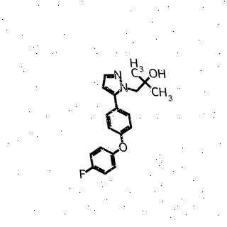 CC(C)(O)Cn1nccc1-c1ccc(Oc2ccc(F)cc2)cc1